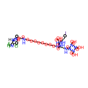 CN(C(=O)c1ccc(Cl)c(-c2cnc(C(F)(F)F)cc2C#N)c1)c1ccccc1OCCC(=O)NCCOCCOCCOCCOCCOCCOCCOCCOCCNC(=O)[C@@H](CCCCNC(=O)CN1CCN(CC(=O)O)CCN(CC(=O)O)CCN(CC(=O)O)CC1)NC(=O)[C@@H](CCC(=O)O)NC(=O)CCCc1ccc(I)cc1